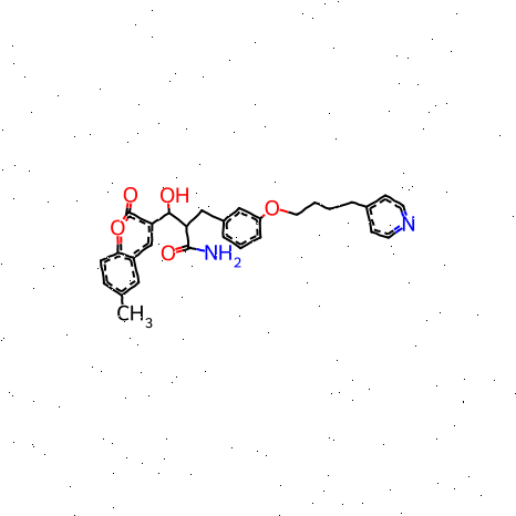 Cc1ccc2oc(=O)c(C(O)C(Cc3cccc(OCCCCc4ccncc4)c3)C(N)=O)cc2c1